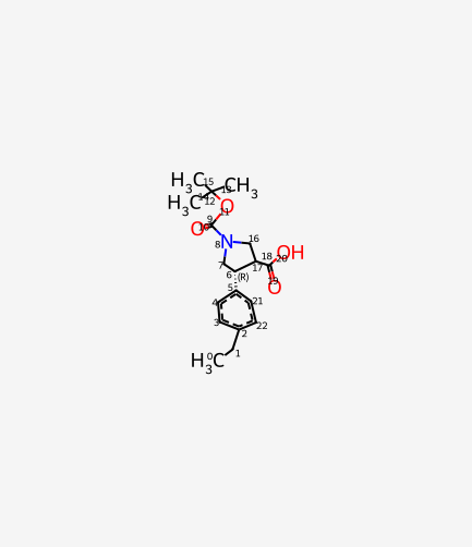 CCc1ccc([C@@H]2CN(C(=O)OC(C)(C)C)CC2C(=O)O)cc1